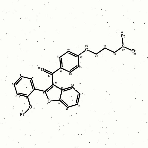 CCOc1ccccc1-c1oc2ccccc2c1C(=O)c1ccc(OCCCN(CC)CC)cc1